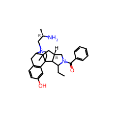 CCC1C2[C@@H](CN1C(=O)c1ccccc1)CC1(C)C3Cc4ccc(O)cc4C21CCN3C[C@@H](C)N